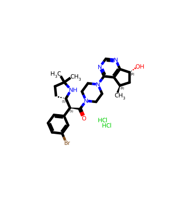 C[C@@H]1C[C@@H](O)c2ncnc(N3CCN(C(=O)[C@@H](c4cccc(Br)c4)[C@@H]4CCC(C)(C)N4)CC3)c21.Cl.Cl